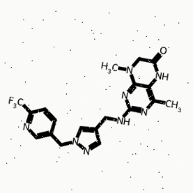 Cc1nc(NCc2cnn(Cc3ccc(C(F)(F)F)nc3)c2)nc2c1NC(=O)CN2C